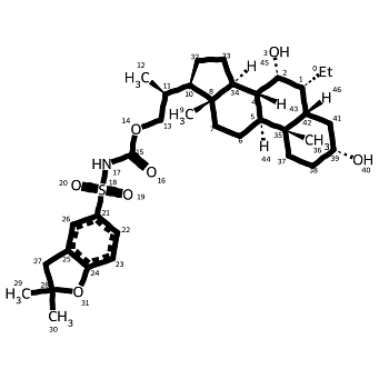 CC[C@H]1[C@@H](O)[C@@H]2[C@H](CC[C@]3(C)[C@@H]([C@H](C)COC(=O)NS(=O)(=O)c4ccc5c(c4)CC(C)(C)O5)CC[C@@H]23)[C@@]2(C)CC[C@@H](O)C[C@@H]12